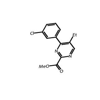 CCc1cnc(C(=O)OC)nc1-c1cccc(Cl)c1